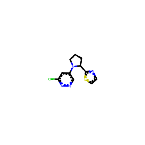 Clc1cc(N2CCCC2c2nccs2)cnn1